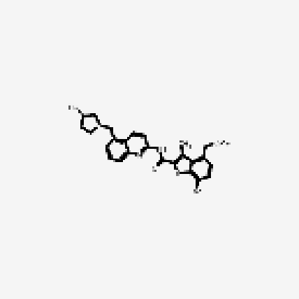 COCc1ccc(C(C)=O)c2sc(C(=O)Nc3ccc4c(CN5CC[C@@H](O)C5)cccc4n3)c(C)c12